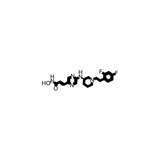 O=C(C=Cc1cnc(N[C@@H]2CCCN(CCc3ccc(F)cc3F)C2)cn1)NO